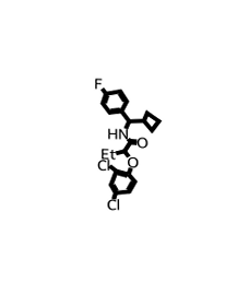 CCC(Oc1ccc(Cl)cc1Cl)C(=O)NC(c1ccc(F)cc1)C1CCC1